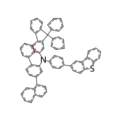 c1ccc(-c2ccc(-c3cccc4ccccc34)cc2N(c2ccc(-c3ccc4sc5ccccc5c4c3)cc2)c2ccc3c(c2)C(c2ccccc2)(c2ccccc2)c2ccccc2-3)cc1